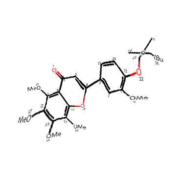 COc1cc(-c2cc(=O)c3c(OC)c(OC)c(OC)c(OC)c3o2)ccc1O[Si](C)(C)C(C)(C)C